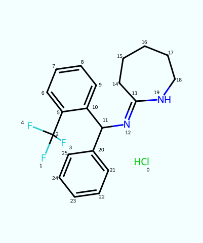 Cl.FC(F)(F)c1ccccc1C(N=C1CCCCCN1)c1ccccc1